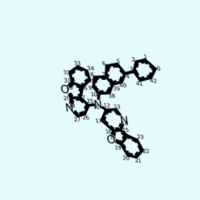 c1ccc(-c2ccc3ccc(N(c4cnc5c(c4)oc4ccccc45)c4ccnc5oc6ccccc6c45)cc3c2)cc1